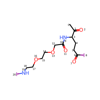 CC(=O)C(CCC(=O)I)NC(=O)COCCOCCNI